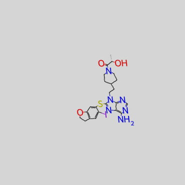 C[C@H](O)C(=O)N1CCC(CCn2c(Sc3cc4c(cc3I)CCO4)nc3c(N)ncnc32)CC1